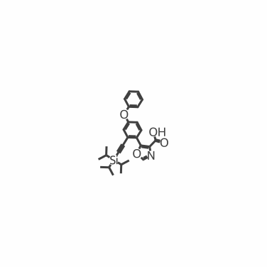 CC(C)[Si](C#Cc1cc(Oc2ccccc2)ccc1-c1ocnc1C(=O)O)(C(C)C)C(C)C